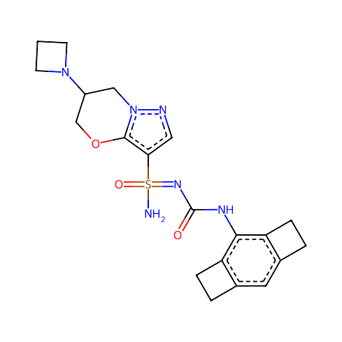 NS(=O)(=NC(=O)Nc1c2c(cc3c1CC3)CC2)c1cnn2c1OCC(N1CCC1)C2